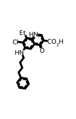 CCc1c(Cl)c(NCCCCc2ccccc2)cc2c(=O)c(C(=O)O)c[nH]c12